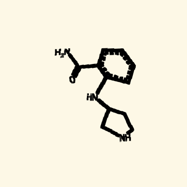 NC(=O)c1ccccc1NC1CCNC1